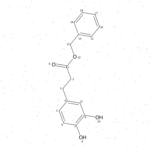 O=C(CCc1ccc(O)c(O)c1)OCc1ccccc1